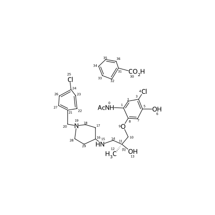 CC(=O)Nc1cc(Cl)c(O)cc1OC[C@@](C)(O)CNC1CCN(Cc2ccc(Cl)cc2)CC1.O=C(O)c1ccccc1